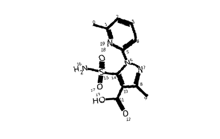 Cc1cccc(-n2nc(C)c(C(=O)O)c2S(N)(=O)=O)n1